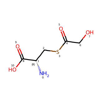 N[C@@H](CSC(=O)CO)C(=O)O